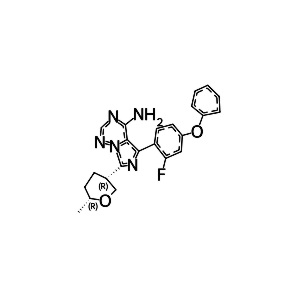 C[C@@H]1CC[C@H](c2nc(-c3ccc(Oc4ccccc4)cc3F)c3c(N)ncnn23)CO1